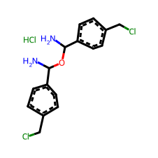 Cl.NC(OC(N)c1ccc(CCl)cc1)c1ccc(CCl)cc1